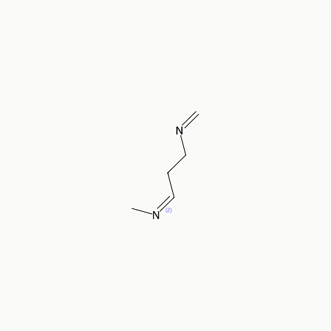 C=NCC/C=N\C